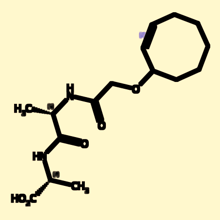 C[C@H](NC(=O)COC1/C=C\CCCCC1)C(=O)N[C@H](C)C(=O)O